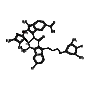 Cc1cc(OCCCc2c3n(c4cc(Cl)ccc24)C(C)[C@@H](c2c(C)nn(C)c2C)N(c2c(Cl)n(C)c4ccc(C(=O)O)cc24)C3=O)cc(C)c1Cl